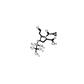 CC(C)(C)[Si](C)(C)OC1CC(C(=O)O)N(C(=O)C2CC2)C1CC=O